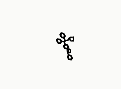 ClCC/C(=C(/c1ccccc1)c1ccc(OCc2ccccc2)cc1)c1ccccc1